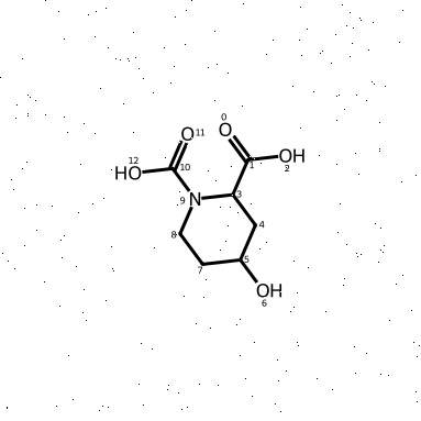 O=C(O)C1CC(O)CCN1C(=O)O